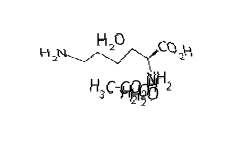 CC(=O)O.NCCCC[C@H](N)C(=O)O.O.O.O